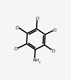 Nc1c(Cl)c(Cl)c(Cl)c(Cl)c1Cl